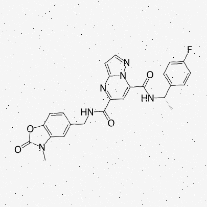 C[C@H](NC(=O)c1cc(C(=O)NCc2ccc3oc(=O)n(C)c3c2)nc2ccnn12)c1ccc(F)cc1